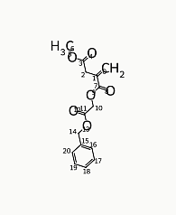 C=C(CC(=O)OC)C(=O)OCC(=O)OCc1ccccc1